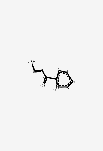 O=C(/C=C/S)c1ccccn1